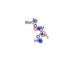 COc1ncccc1-c1ccc(O)c(-c2nc3cc(C(=O)N(C)Cc4cccc(-c5nnn[nH]5)c4)ccc3[nH]2)c1